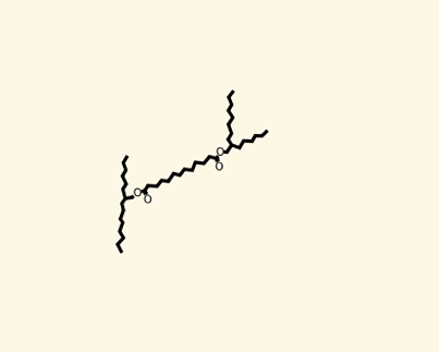 CCCCCCCCC(CCCCCC)COC(=O)CCCCCCCCCCCC(=O)OCC(CCCCCC)CCCCCCCC